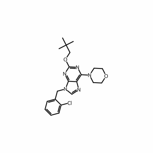 CC(C)(C)COc1nc(N2CCOCC2)c2ncn(Cc3ccccc3Cl)c2n1